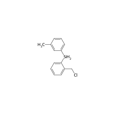 Cc1cccc([SiH2]c2ccccc2CCl)c1